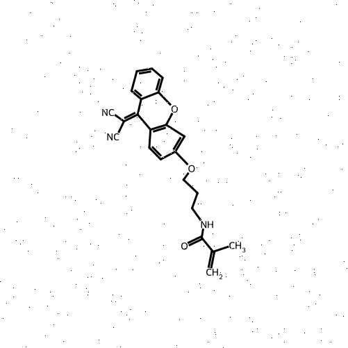 C=C(C)C(=O)NCCCOc1ccc2c(c1)Oc1ccccc1C2=C(C#N)C#N